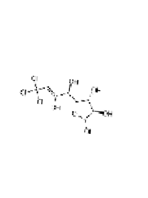 OC(=CC(Cl)(Cl)Cl)[C@@H](O)[C@H]1OC(O)[C@H](O)[C@H]1O